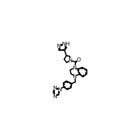 O=C(N1CCC(c2cn[nH]c2)C1)N1CCN(Cc2ccc(-n3cncn3)cc2)c2ccccc21